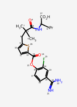 CC(C)C(NC(=O)C(C)(C)Cc1ccc(C(=O)Oc2ccc(C(=N)N)cc2F)s1)C(=O)O